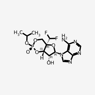 CC(C)OP1(=O)OC[C@@]2(C(F)F)O[C@@H](n3cnc4ncnc(N)c43)[C@H](O)[C@@H]2O1